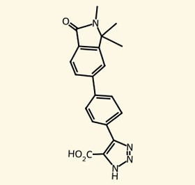 CN1C(=O)c2ccc(-c3ccc(-c4nn[nH]c4C(=O)O)cc3)cc2C1(C)C